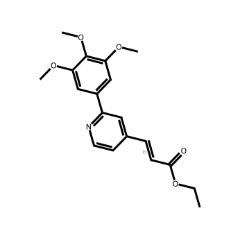 CCOC(=O)/C=C/c1ccnc(-c2cc(OC)c(OC)c(OC)c2)c1